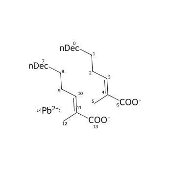 CCCCCCCCCCCCC=C(C)C(=O)[O-].CCCCCCCCCCCCC=C(C)C(=O)[O-].[Pb+2]